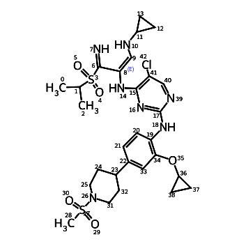 CC(C)S(=O)(=O)C(=N)/C(=C\NC1CC1)Nc1nc(Nc2ccc(C3CCN(S(C)(=O)=O)CC3)cc2OC2CC2)ncc1Cl